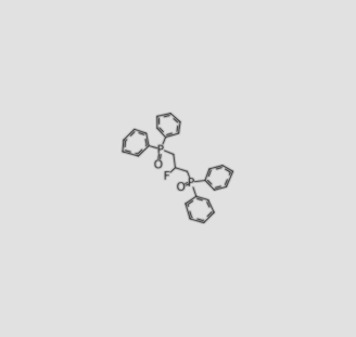 O=P(CC(F)CP(=O)(c1ccccc1)c1ccccc1)(c1ccccc1)c1ccccc1